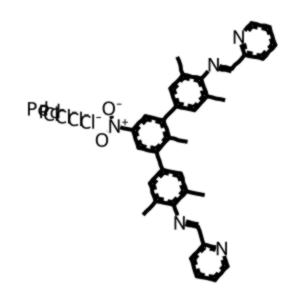 Cc1cc(-c2cc([N+](=O)[O-])cc(-c3cc(C)c(N=Cc4ccccn4)c(C)c3)c2C)cc(C)c1N=Cc1ccccn1.[Cl-].[Cl-].[Cl-].[Cl-].[Pd].[Pd]